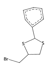 BrCC1CSC(c2ccccc2)S1